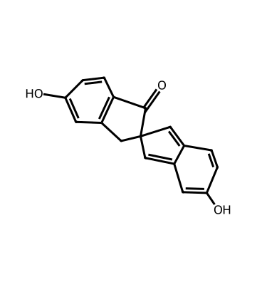 O=C1c2ccc(O)cc2CC12C=c1ccc(O)cc1=C2